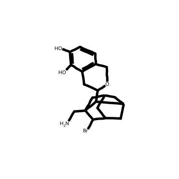 NCC12CC3CC(CC(C3)C1C1Cc3c(ccc(O)c3O)CO1)C2Br